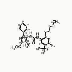 COCCCc1cc(F)c(C(F)(F)F)cc1NC(=O)Nc1c(C)c(OC)nn1-c1ccccc1